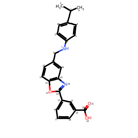 CC(C)c1ccc(NCc2ccc3oc(-c4cccc(C(=O)O)c4)nc3c2)cc1